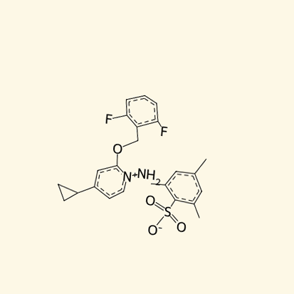 Cc1cc(C)c(S(=O)(=O)[O-])c(C)c1.N[n+]1ccc(C2CC2)cc1OCc1c(F)cccc1F